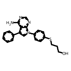 Nc1ncnc2c1c(-c1ccccc1)cn2-c1ccc(SCCCO)cc1